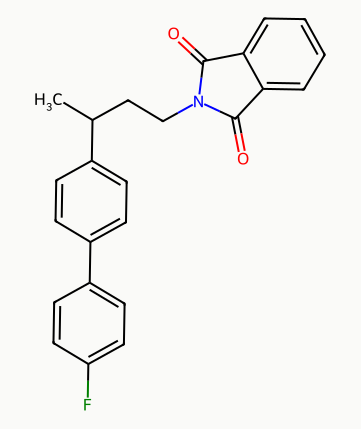 CC(CCN1C(=O)c2ccccc2C1=O)c1ccc(-c2ccc(F)cc2)cc1